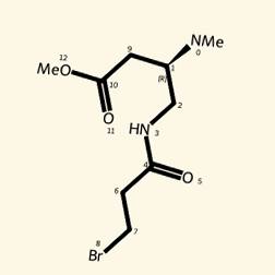 CN[C@@H](CNC(=O)CCBr)CC(=O)OC